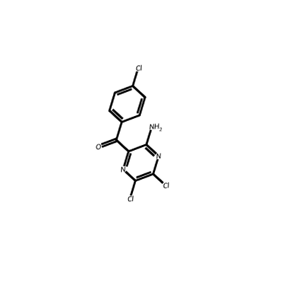 Nc1nc(Cl)c(Cl)nc1C(=O)c1ccc(Cl)cc1